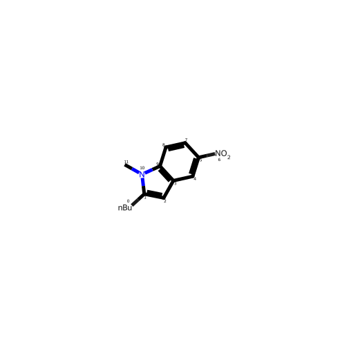 CCCCc1cc2cc([N+](=O)[O-])ccc2n1C